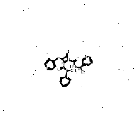 CC[C@@H](NC(=O)N1C(=O)[C@H](Cc2ccncc2)[C@H]1C(=O)N(C)c1ccccc1)c1cccnc1